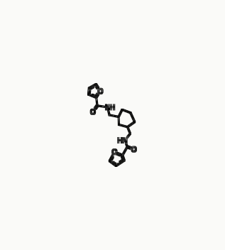 O=C(NCC1CCCC(CNC(=O)c2ccco2)C1)c1ccco1